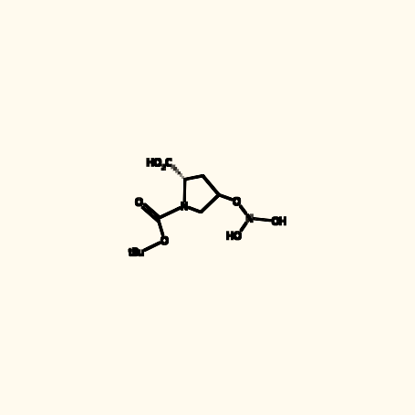 CC(C)(C)OC(=O)N1CC(ON(O)O)C[C@H]1C(=O)O